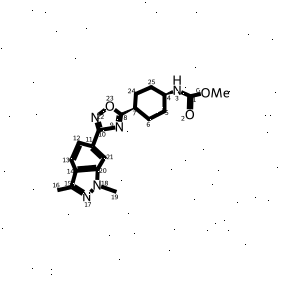 COC(=O)N[C@H]1CC[C@@H](c2nc(-c3ccc4c(C)nn(C)c4c3)no2)CC1